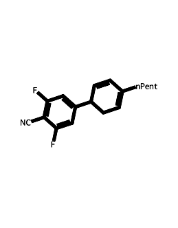 CCCCCC1=CCC(c2cc(F)c(C#N)c(F)c2)C=C1